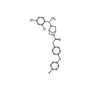 CC(c1ccc(Cl)cc1Cl)N1CC2CC1CN2C(=O)Cc1ccc(Oc2ccc(F)cc2)cc1